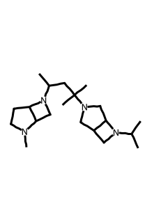 CC(C)N1CC2CN(C(C)(C)CC(C)N3CC4C3CCN4C)CC21